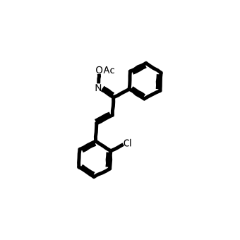 CC(=O)ON=C(C=Cc1ccccc1Cl)c1ccccc1